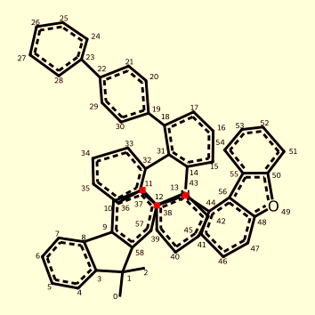 CC1(C)c2ccccc2-c2ccc(N(c3cccc(-c4ccc(-c5ccccc5)cc4)c3-c3ccccc3-c3ccccc3)c3cccc4oc5ccccc5c34)cc21